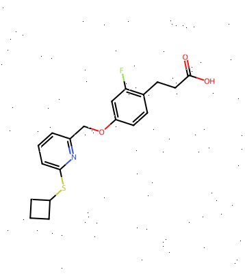 O=C(O)CCc1ccc(OCc2cccc(SC3CCC3)n2)cc1F